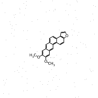 COc1cc2cc3ccc4c5ccoc5ccc4c3cc2cc1OC